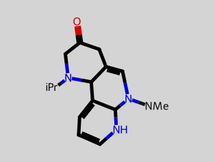 CNN1C=C2CC(=O)CN(C(C)C)C2C2=CC=CNC21